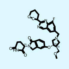 COC[C@@H]1CN(Cc2cc(F)c3nc(C4CCCOC4)ncc3c2)C[C@H]1Oc1ccc2c(c1)CN([C@H]1CCC(=O)NC1=O)C2=O